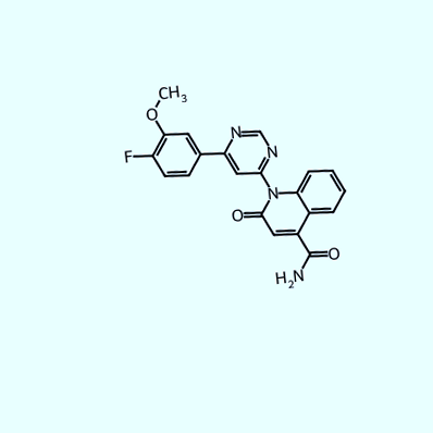 COc1cc(-c2cc(-n3c(=O)cc(C(N)=O)c4ccccc43)ncn2)ccc1F